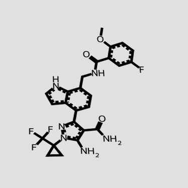 COc1ccc(F)cc1C(=O)NCc1ccc(-c2nn(C3(C(F)(F)F)CC3)c(N)c2C(N)=O)c2cc[nH]c12